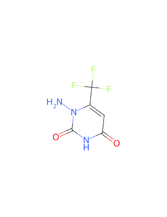 Nn1c(C(F)(F)F)cc(=O)[nH]c1=O